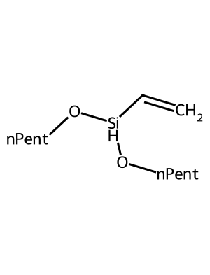 C=C[SiH](OCCCCC)OCCCCC